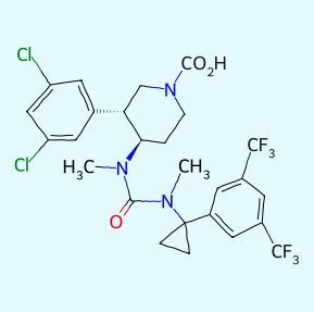 CN(C(=O)N(C)C1(c2cc(C(F)(F)F)cc(C(F)(F)F)c2)CC1)[C@@H]1CCN(C(=O)O)C[C@H]1c1cc(Cl)cc(Cl)c1